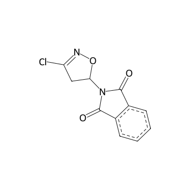 O=C1c2ccccc2C(=O)N1C1CC(Cl)=NO1